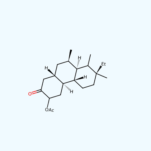 CC[C@@]1(C)CC[C@@H]2[C@H]3CC(OC(C)=O)C(=O)C[C@@H]3C[C@@H](C)[C@H]2C1C